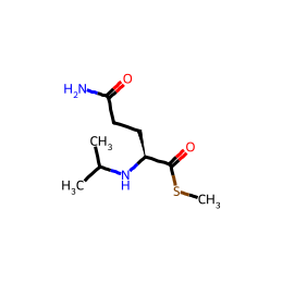 CSC(=O)[C@H](CCC(N)=O)NC(C)C